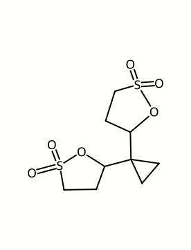 O=S1(=O)CCC(C2(C3CCS(=O)(=O)O3)CC2)O1